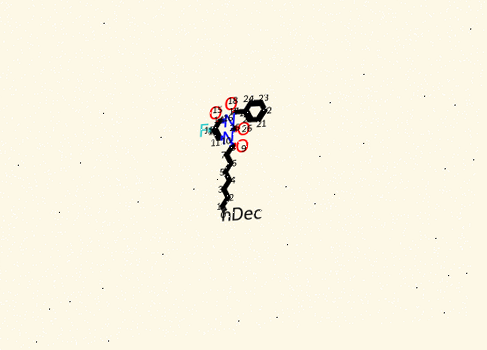 CCCCCCCCCCCCCCCCCC(=O)n1cc(F)c(=O)n(C(=O)c2ccccc2)c1=O